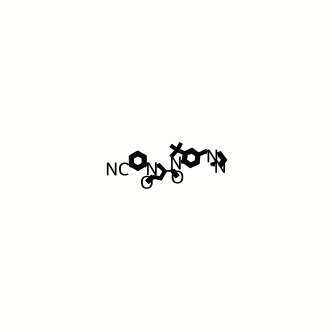 CC1(C)CN(C(=O)[C@H]2CC(=O)N(c3cccc(C#N)c3)C2)c2ccc(Cn3ccnc3)cc21